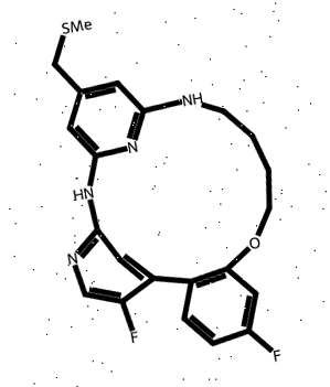 CSCc1cc2nc(c1)Nc1cc(c(F)cn1)-c1ccc(F)cc1OCCCCN2